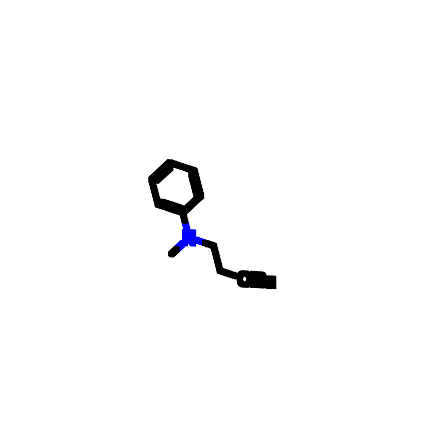 CC(C)COCCN(C)c1ccccc1